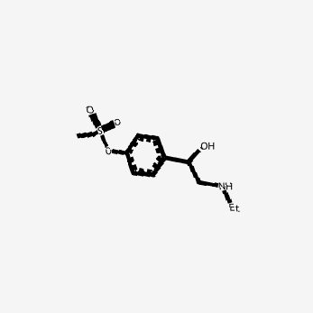 CCNCC(O)c1ccc(OS(C)(=O)=O)cc1